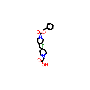 O=C(O)CN1CCC(F)(CC2CCN(C(=O)OCc3ccccc3)CC2)CC1